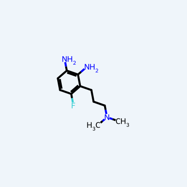 CN(C)CCCc1c(F)ccc(N)c1N